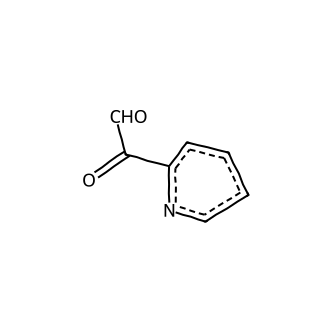 O=CC(=O)c1ccccn1